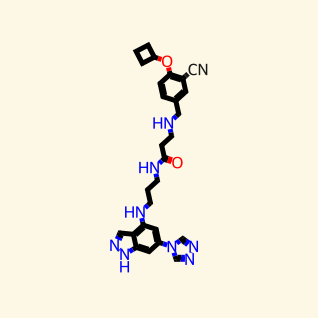 N#Cc1cc(CNCCC(=O)NCCCNc2cc(-n3cnnc3)cc3[nH]ncc23)ccc1OC1CCC1